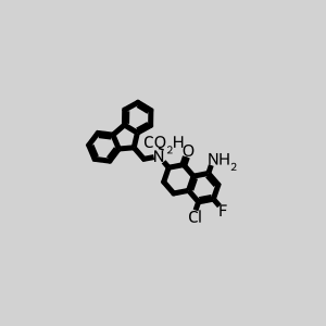 Nc1cc(F)c(Cl)c2c1C(=O)C(N(CC1c3ccccc3-c3ccccc31)C(=O)O)CC2